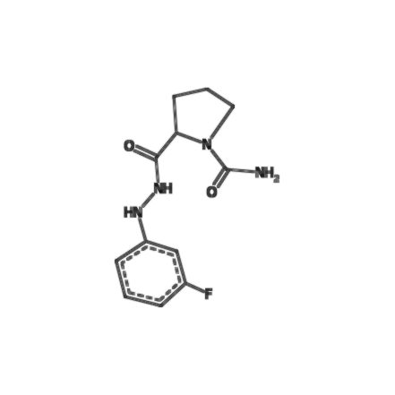 NC(=O)N1CCCC1C(=O)NNc1cccc(F)c1